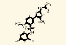 COc1ccc(-c2sc(NC(C)=O)nc2C)cc1S(=O)(=O)Nc1ccc(F)cc1F